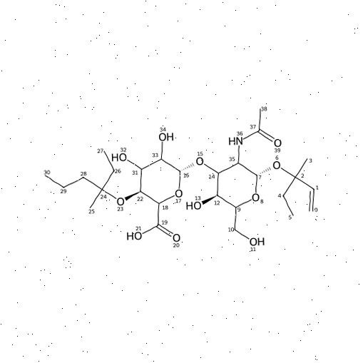 C=CC(C)(CC)O[C@@H]1OC(CO)[C@@H](O)C(O[C@@H]2OC(C(=O)O)[C@@H](OC(C)(CC)CCC)C(O)C2O)C1NC(C)=O